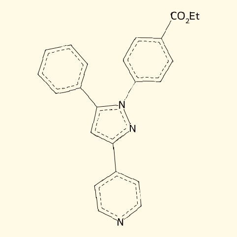 CCOC(=O)c1ccc(-n2nc(-c3ccncc3)cc2-c2ccccc2)cc1